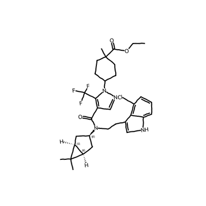 CCOC(=O)C1(C)CCC(n2ncc(C(=O)N(CCc3c[nH]c4cccc(Cl)c34)[C@H]3C[C@@H]4[C@H](C3)C4(C)C)c2C(F)(F)F)CC1